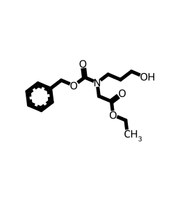 CCOC(=O)CN(CCCO)C(=O)OCc1ccccc1